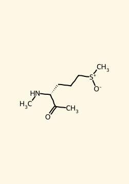 CN[C@H](CCC[S+](C)[O-])C(C)=O